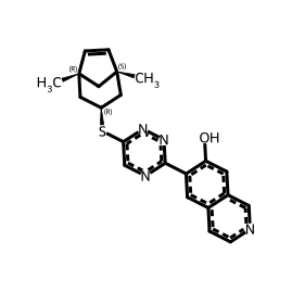 C[C@]12C=C[C@](C)(C[C@@H](Sc3cnc(-c4cc5ccncc5cc4O)nn3)C1)C2